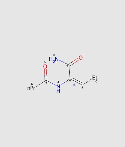 CC/C=C(/NC(=O)CCC)C(N)=O